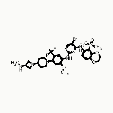 CNC1CN(C2CCN(c3cc(OC)c(Nc4ncc(Br)c(Nc5ccc6c(c5P(C)(C)=O)OCCO6)n4)cc3C(F)(F)F)CC2)C1